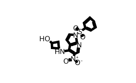 O=[N+]([O-])c1cnc2c(ccn2S(=O)(=O)c2ccccc2)c1NC1CC(O)C1